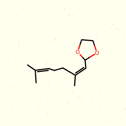 CC(C)=CCCC(C)=CC1OCCO1